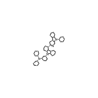 c1ccc(N(c2ccccc2)c2cccc(-n3c4ccccc4c4c(-c5cc6c7ccccc7n(-c7ccccc7)c6cn5)cccc43)c2)cc1